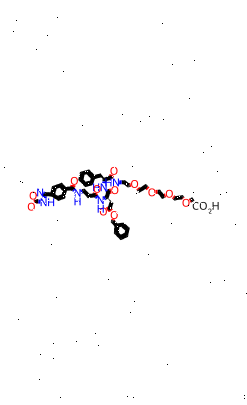 O=C(O)COCCOCCOCCOCCNC(=O)[C@H](Cc1ccccc1)NC(=O)[C@H](CC(=O)OCc1ccccc1)NC(=O)CCNC(=O)c1ccc(-c2noc(=O)[nH]2)cc1